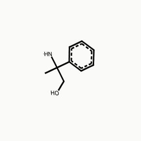 CC([NH])(CO)c1ccccc1